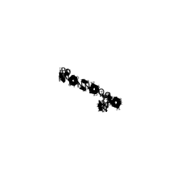 CC(C)n1ncn(-c2ccc(N3CCN(c4ccc(OC[C@@H]5OC[C@@](Cn6nccn6)(c6ccccc6)O5)cc4)CC3)cc2)c1=O